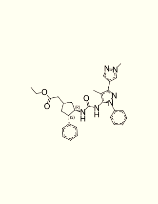 CCOC(=O)CC1C[C@@H](NC(=O)Nc2c(C)c(-c3cnn(C)c3)nn2-c2ccccc2)[C@H](c2ccccc2)C1